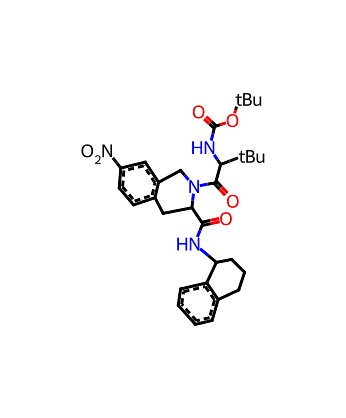 CC(C)(C)OC(=O)NC(C(=O)N1Cc2cc([N+](=O)[O-])ccc2CC1C(=O)NC1CCCc2ccccc21)C(C)(C)C